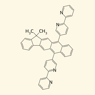 CC1(C)c2ccccc2-c2cc3c(-c4ccc(-c5ccccn5)nc4)c4ccccc4c(-c4ccc(-c5ccccn5)nc4)c3cc21